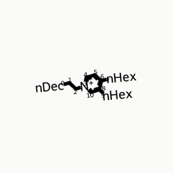 CCCCCCCCCCCC[n+]1ccc(CCCCCC)c(CCCCCC)c1